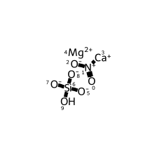 O=[N+]([O-])[Ca+].[Mg+2].[O-][Si]([O-])([O-])O